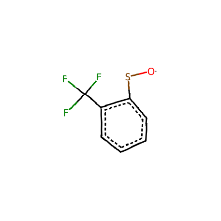 [O]Sc1ccccc1C(F)(F)F